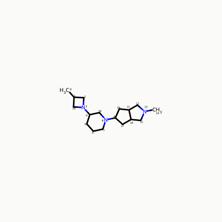 CC1CN(C2CCCN(C3CC4CN(C)CC4C3)C2)C1